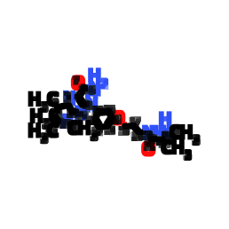 CCc1nc(C(N)=O)c(Nc2cccc(OCCCNC(=O)[C@H](C)NC)c2)nc1N(C)C(C)C